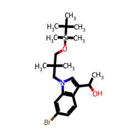 CC(O)c1cn(CC(C)(C)CO[Si](C)(C)C(C)(C)C)c2cc(Br)ccc12